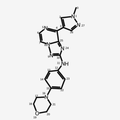 Cn1cc(-c2nccn3nc(Nc4ccc(N5CCOCC5)cc4)nc23)cn1